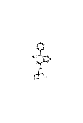 CC(c1ccccc1)n1cncc1C(=O)OCC1(CO)COC1